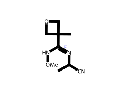 CON/C(=N\C(C)C#N)C1(C)COC1